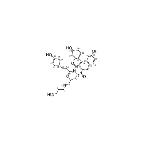 NCCCNCCCC(C(=O)/C=C/c1ccc(O)cc1)N(C(=O)/C=C\c1ccc(O)cc1)C(=O)/C=C/c1ccc(O)cc1